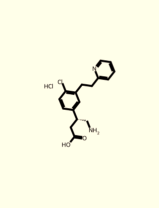 Cl.NC[C@H](CC(=O)O)c1ccc(Cl)c(CCc2ccccn2)c1